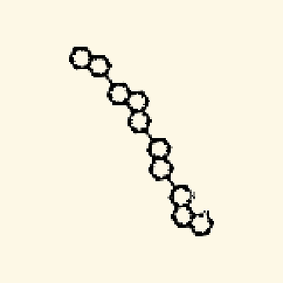 c1ccc2cc(-c3ccc4c(ccc5cc(-c6ccc7cc(-c8cnc9c(ccc%10cccnc%109)c8)ccc7c6)ccc54)c3)ccc2c1